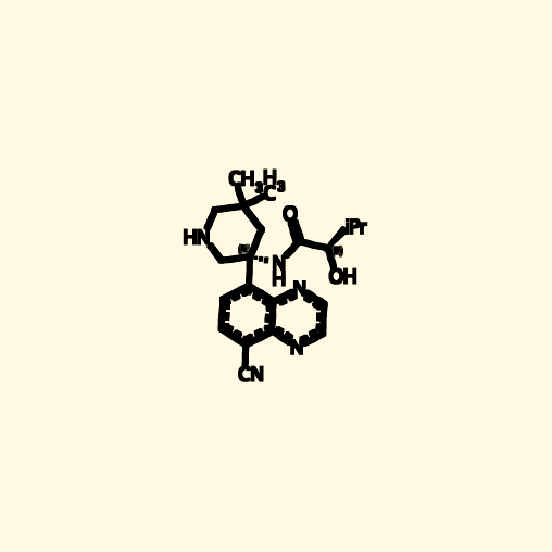 CC(C)[C@@H](O)C(=O)N[C@]1(c2ccc(C#N)c3nccnc23)CNCC(C)(C)C1